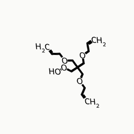 C=CCOCC(COO)(COCC=C)COCC=C